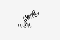 C[C@H]1C(=O)NC(=O)N1COCCCS(=O)(=O)NC1(c2cccc(OCC(C)(C)O)c2)CC1